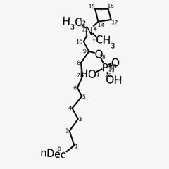 CCCCCCCCCCCCCCCCCCC(C[N+](C)(C)C1CCC1)OP(=O)(O)O